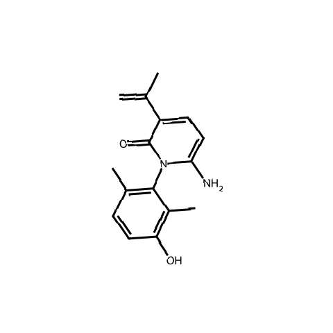 C=C(C)c1ccc(N)n(-c2c(C)ccc(O)c2C)c1=O